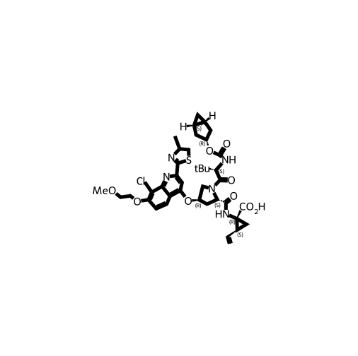 C=C[C@@H]1C[C@]1(NC(=O)[C@@H]1C[C@@H](Oc2cc(C3=NC(C)CS3)nc3c(Cl)c(OCCOC)ccc23)CN1C(=O)[C@@H](NC(=O)O[C@@H]1C[C@@H]2C[C@@H]2C1)C(C)(C)C)C(=O)O